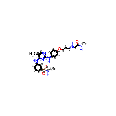 CCNC(=O)CNCCCOc1ccc(Nc2ncc(C)c(Nc3cccc(S(=O)(=O)NC(C)(C)C)c3)n2)cc1